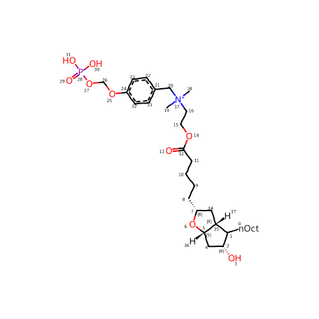 CCCCCCCCC1[C@H](O)C[C@@H]2O[C@H](CCCCC(=O)OCC[N+](C)(C)Cc3ccc(OCOP(=O)(O)O)cc3)C[C@H]12